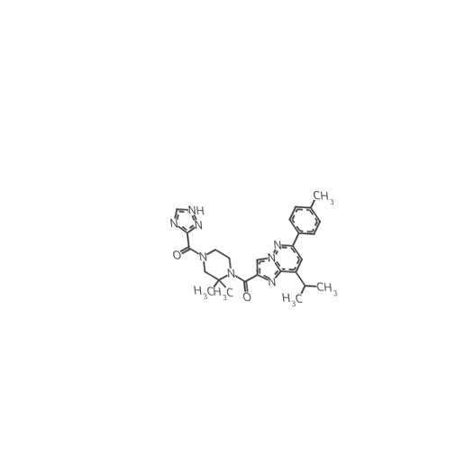 Cc1ccc(-c2cc(C(C)C)c3nc(C(=O)N4CCN(C(=O)c5nc[nH]n5)CC4(C)C)cn3n2)cc1